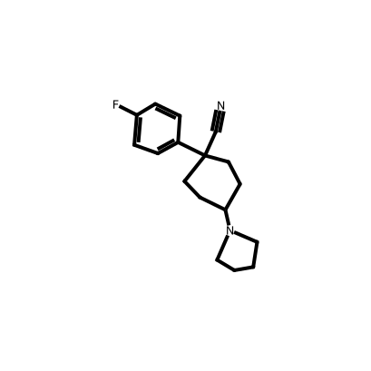 N#CC1(c2ccc(F)cc2)CCC(N2CCCC2)CC1